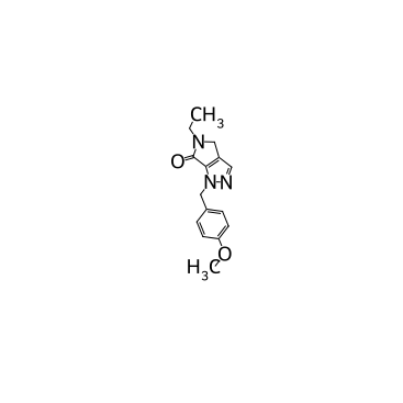 CCN1Cc2cnn(Cc3ccc(OC)cc3)c2C1=O